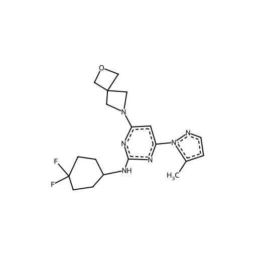 Cc1ccnn1-c1cc(N2CC3(COC3)C2)nc(NC2CCC(F)(F)CC2)n1